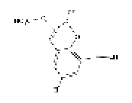 C#Cc1cc(Cl)cc2c1OC(C(F)(F)F)C(OC(=O)O)=C2